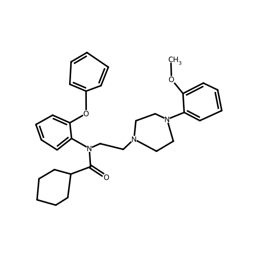 COc1ccccc1N1CCN(CCN(C(=O)C2CCCCC2)c2ccccc2Oc2ccccc2)CC1